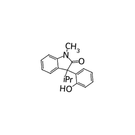 CC(C)C1(c2ccccc2O)C(=O)N(C)c2ccccc21